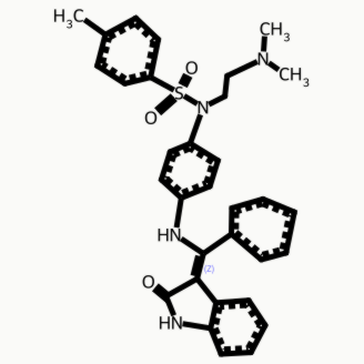 Cc1ccc(S(=O)(=O)N(CCN(C)C)c2ccc(N/C(=C3\C(=O)Nc4ccccc43)c3ccccc3)cc2)cc1